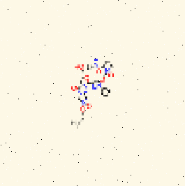 CCCCOC(=O)N1CCN(C(=O)C(CCCCO)NC(=O)c2cc(OCC(=O)N3CCCC3C(=O)NC3CCC3)n(-c3ccccc3)n2)CC1